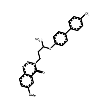 COc1ccc2nnn(CCC(Sc3ccc(-c4ccc(C(F)(F)F)cc4)cc3)C(=O)O)c(=O)c2c1